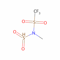 CN([SH](=O)=O)S(=O)(=O)C(F)(F)F